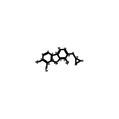 Fc1ccc2c(sc3c(F)c(CC4CC4)ccc32)c1F